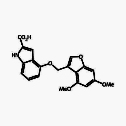 COc1cc(OC)c2c(COc3cccc4[nH]c(C(=O)O)cc34)coc2c1